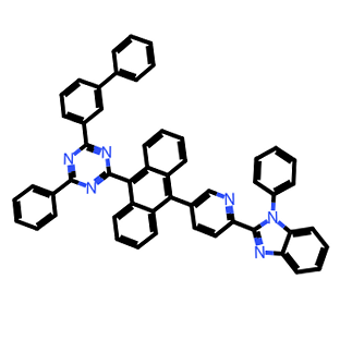 c1ccc(-c2cccc(-c3nc(-c4ccccc4)nc(-c4c5ccccc5c(-c5ccc(-c6nc7ccccc7n6-c6ccccc6)nc5)c5ccccc45)n3)c2)cc1